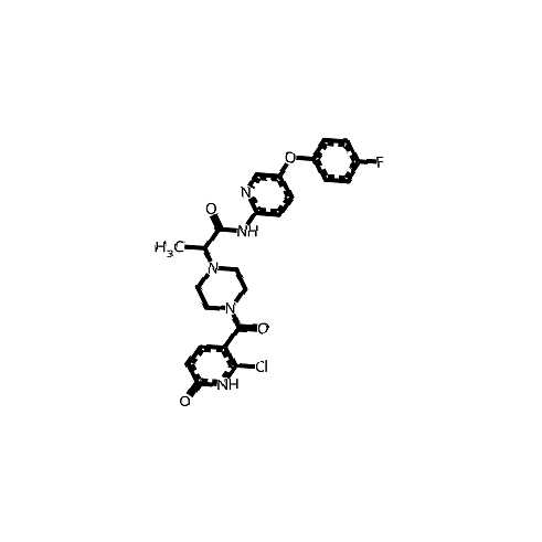 CC(C(=O)Nc1ccc(Oc2ccc(F)cc2)cn1)N1CCN(C(=O)c2ccc(=O)[nH]c2Cl)CC1